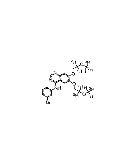 [2H]C([2H])([2H])OC([2H])([2H])COc1cc2ncnc(Nc3cccc(Br)c3)c2cc1OCC([2H])([2H])OC([2H])([2H])[2H]